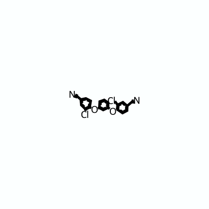 N#Cc1ccc(Oc2cccc(Oc3ccc(C#N)cc3Cl)c2)c(Cl)c1